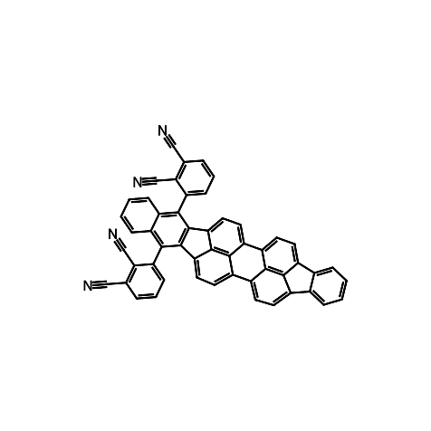 N#Cc1cccc(-c2c3c(c(-c4cccc(C#N)c4C#N)c4ccccc24)-c2ccc4c5ccc6c7c(ccc(c8ccc-3c2c84)c75)-c2ccccc2-6)c1C#N